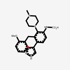 COc1ccccc1Cc1c(-c2cn[nH]c2)ccc(NC(=O)O)c1N1CCN(C)CC1